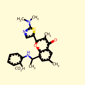 Cc1cc(C(C)Nc2ccccc2C(=O)O)c2oc(-c3cnc(N(C)C)s3)c(C)c(=O)c2c1